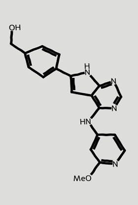 COc1cc(Nc2ncnc3[nH]c(-c4ccc(CO)cc4)cc23)ccn1